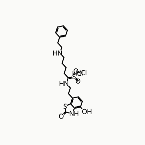 Cl.Cl.O=c1[nH]c2c(O)ccc(CCNC(CCCCNCCc3ccccc3)=S(=O)=O)c2s1